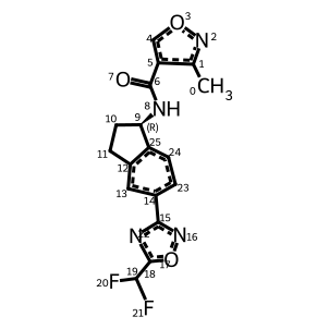 Cc1nocc1C(=O)N[C@@H]1CCc2cc(-c3noc(C(F)F)n3)ccc21